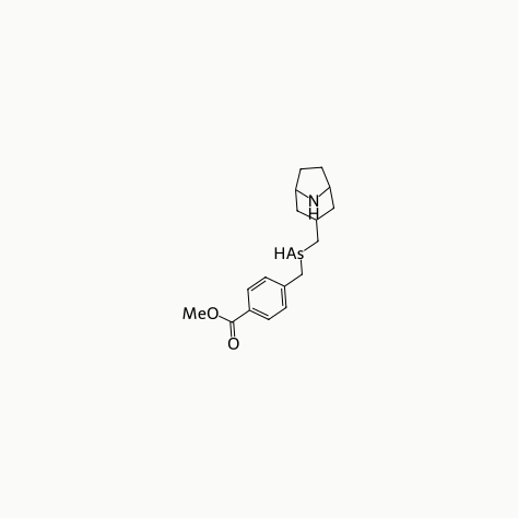 COC(=O)c1ccc(C[AsH]CC2CC3CCC(C2)N3)cc1